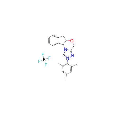 Cc1cc(C)c(-[n+]2cn3c(n2)COC2Cc4ccccc4C23)c(C)c1.F[B-](F)(F)F